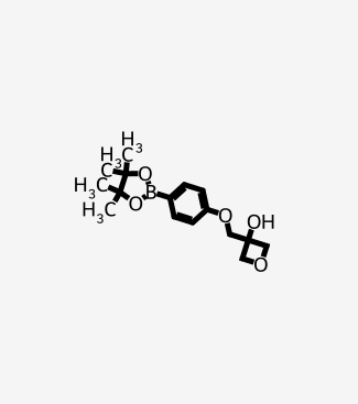 CC1(C)OB(c2ccc(OCC3(O)COC3)cc2)OC1(C)C